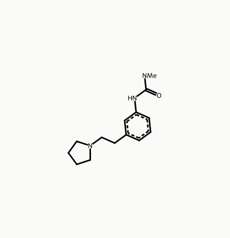 CNC(=O)Nc1cccc(CCN2CCCC2)c1